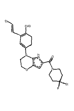 CC/C=C/C1=C(C=O)CCC(N2CCOc3cc(C(=O)N4CCC(F)(CC)CC4)[nH]c32)=C1